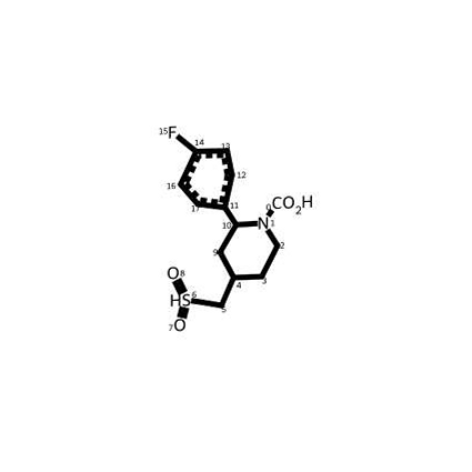 O=C(O)N1CCC(C[SH](=O)=O)CC1c1ccc(F)cc1